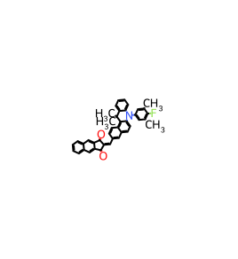 Cc1cc(N2c3ccccc3C(C)(C)c3c2ccc2cc(C=C4C(=O)c5cc6ccccc6cc5C4=O)ccc32)cc(C)c1F